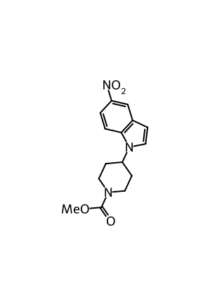 COC(=O)N1CCC(n2ccc3cc([N+](=O)[O-])ccc32)CC1